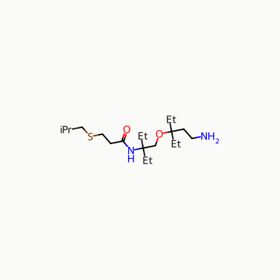 CCC(CC)(COC(CC)(CC)CCN)NC(=O)CCSCC(C)C